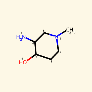 CN1CCC(O)C(N)C1